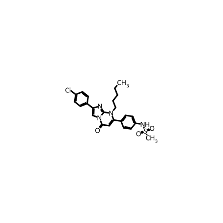 CCCCCn1c(-c2ccc(NS(C)(=O)=O)cc2)cc(=O)n2cc(-c3ccc(Cl)cc3)nc12